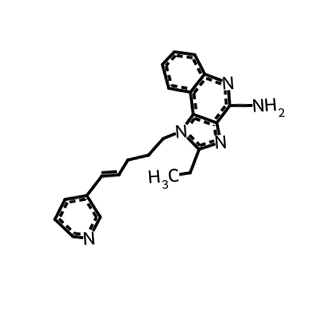 CCc1nc2c(N)nc3ccccc3c2n1CCC/C=C/c1cccnc1